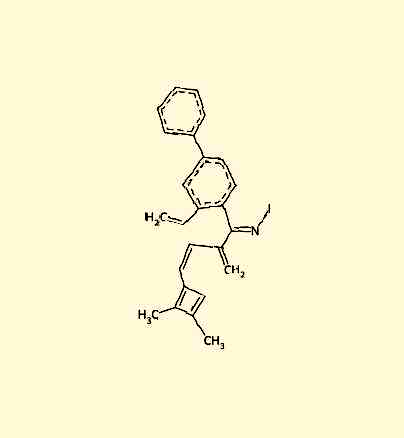 C=Cc1cc(-c2ccccc2)ccc1/C(=N\I)C(=C)/C=C\C1=C(C)C(C)=C1